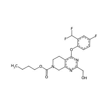 CCCCOC(=O)N1CCc2c(nc(CO)nc2Oc2ccc(F)cc2C(F)F)C1